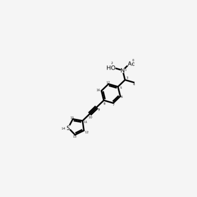 CC(=O)N(O)C(C)c1ccc(C#Cc2ccsc2)cc1